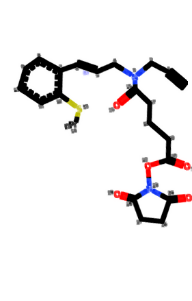 C#CCN(C/C=C/c1ccccc1SCCC)C(=O)CCCC(=O)ON1C(=O)CCC1=O